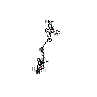 CCN(CC)c1ccc2c(-c3ccccc3C(=O)N3CCN(C(=O)CCCCCCCn4cc(COCCOC(=O)NC(Cc5ccc(NC(=N)N)cc5)P(=O)(Oc5ccccc5)Oc5ccccc5)nn4)CC3)c3ccc(=[N+](CC)CC)cc-3oc2c1